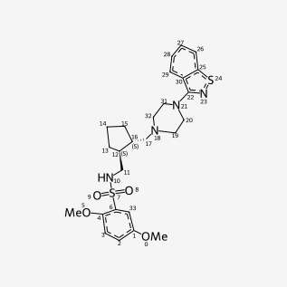 COc1ccc(OC)c(S(=O)(=O)NC[C@H]2CCC[C@@H]2CN2CCN(c3nsc4ccccc34)CC2)c1